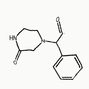 O=[C]C(c1ccccc1)N1CCNC(=O)C1